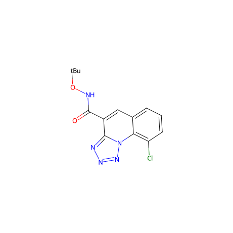 CC(C)(C)ONC(=O)c1cc2cccc(Cl)c2n2nnnc12